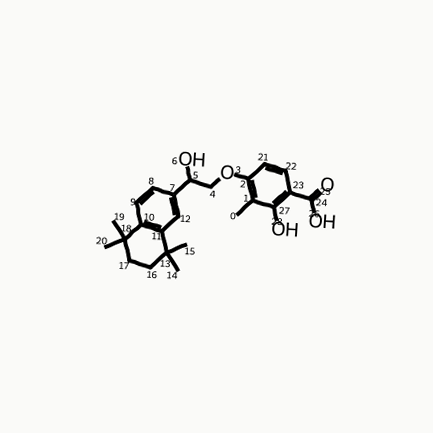 Cc1c(OCC(O)c2ccc3c(c2)C(C)(C)CCC3(C)C)ccc(C(=O)O)c1O